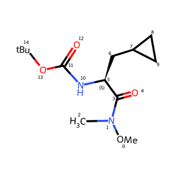 CON(C)C(=O)[C@H](CC1CC1)NC(=O)OC(C)(C)C